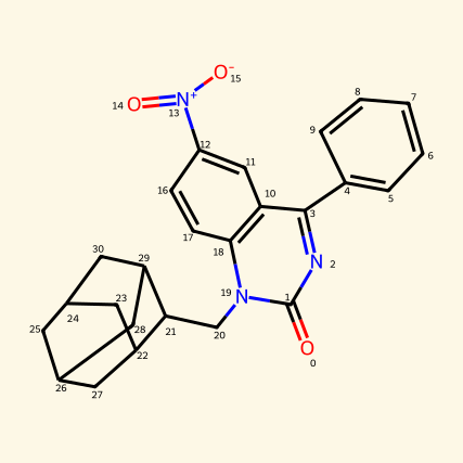 O=c1nc(-c2ccccc2)c2cc([N+](=O)[O-])ccc2n1CC1C2CC3CC(C2)CC1C3